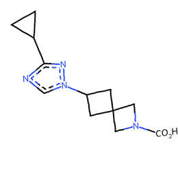 O=C(O)N1CC2(CC(n3cnc(C4CC4)n3)C2)C1